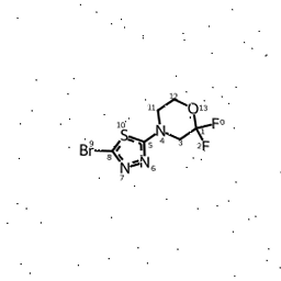 FC1(F)CN(c2nnc(Br)s2)CCO1